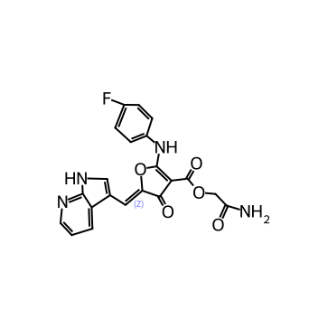 NC(=O)COC(=O)C1=C(Nc2ccc(F)cc2)O/C(=C\c2c[nH]c3ncccc23)C1=O